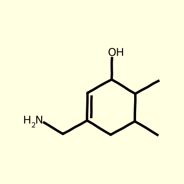 CC1CC(CN)=CC(O)C1C